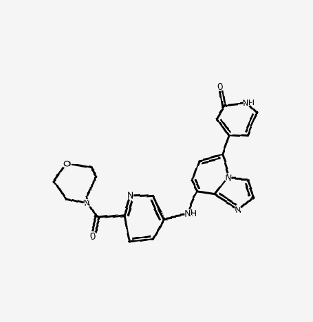 O=C(c1ccc(Nc2ccc(-c3cc[nH]c(=O)c3)n3ccnc23)cn1)N1CCOCC1